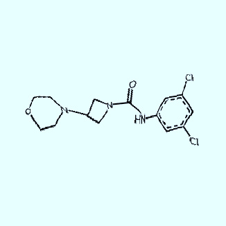 O=C(Nc1cc(Cl)cc(Cl)c1)N1CC(N2CCOCC2)C1